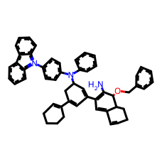 NC1=C(C2=CC(N(c3ccccc3)c3ccc(-n4c5ccccc5c5ccccc54)cc3)CC(C3=CCCCC3)=C2)C=C2C=CCCC2C1OCc1ccccc1